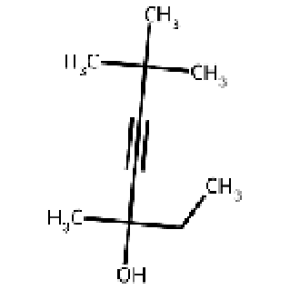 CCC(C)(O)C#CC(C)(C)C